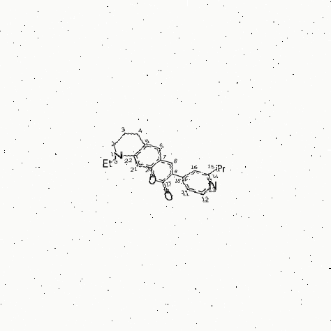 CCN1CCCc2cc3cc(-c4ccnc(C(C)C)c4)c(=O)oc3cc21